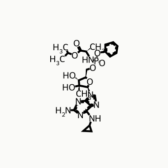 CC(C)OC(=O)[C@H](C)NP(=O)(OC[C@H]1O[C@@H](n2cnc3c(NC4CC4)nc(N)nc32)[C@](C)(O)[C@@H]1O)Oc1ccccc1